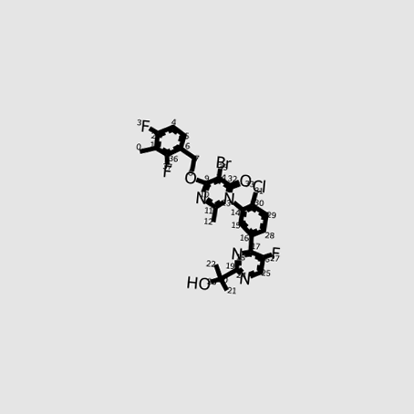 Cc1c(F)ccc(COc2nc(C)n(-c3cc(-c4nc(C(C)(C)O)ncc4F)ccc3Cl)c(=O)c2Br)c1F